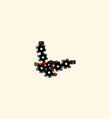 CCCCCC(Oc1ccc(-c2ccc(C#N)cc2)cc1)C1(C(CCCCC)Oc2ccc(-c3ccc(C#N)cc3)cc2)c2cc(Br)ccc2-c2ccc(Br)cc21